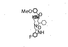 COc1cccc(C(=O)NCCC(C(=O)N(CCCO)CC2CNc3ccc(F)cc32)C2CCCCC2)c1